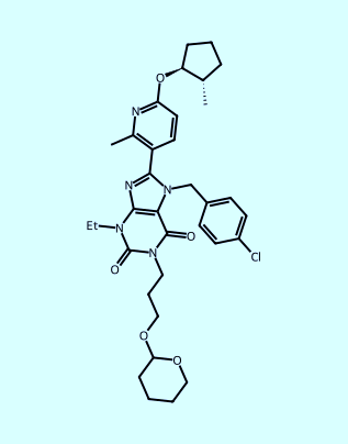 CCn1c(=O)n(CCCOC2CCCCO2)c(=O)c2c1nc(-c1ccc(O[C@H]3CCC[C@@H]3C)nc1C)n2Cc1ccc(Cl)cc1